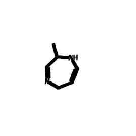 CC1C=NCC=CN1